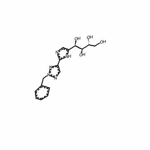 OC[C@@H](O)[C@@H](O)[C@H](O)c1cnc(-c2cnn(Cc3ccccc3)n2)[nH]1